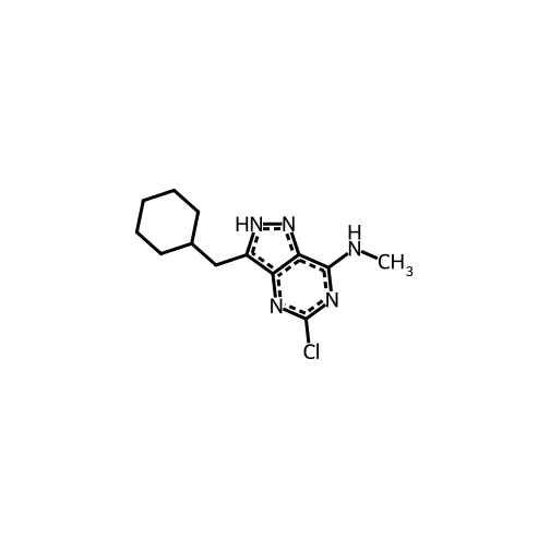 CNc1nc(Cl)nc2c(CC3CCCCC3)[nH]nc12